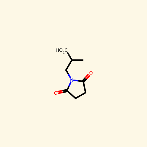 CC(CN1C(=O)CCC1=O)C(=O)O